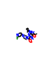 Cc1cc2c(NC3(C)CC3)nc(C(=O)N3CCN(c4ccnc(F)c4)CC3)nc2o1